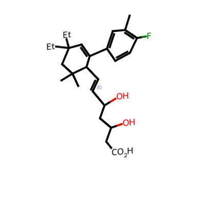 CCC1(CC)C=C(c2ccc(F)c(C)c2)C(/C=C/C(O)CC(O)CC(=O)O)C(C)(C)C1